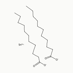 CCCCCCCCCCC(=O)[O-].CCCCCCCCCCC(=O)[O-].[Sn+2]